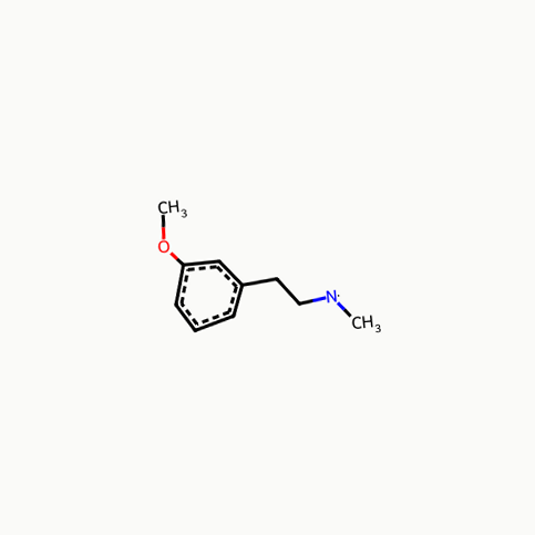 C[N]CCc1cccc(OC)c1